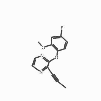 CC#Cc1nccnc1Oc1ccc(F)cc1OC